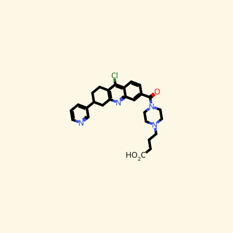 O=C(O)CCCN1CCN(C(=O)c2ccc3c(Cl)c4c(nc3c2)CC(c2cccnc2)CC4)CC1